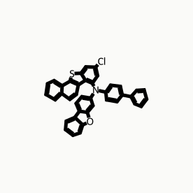 Clc1cc(N(c2ccc(-c3ccccc3)cc2)c2ccc3c(c2)oc2ccccc23)c2c(c1)sc1c3ccccc3ccc12